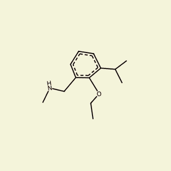 CCOc1c(CNC)cccc1C(C)C